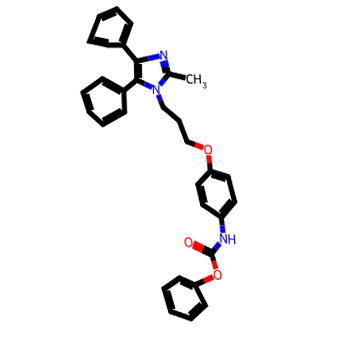 Cc1nc(-c2ccccc2)c(-c2ccccc2)n1CCCOc1ccc(NC(=O)Oc2ccccc2)cc1